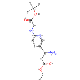 CCOC(=O)CC(N)c1ccc(NCC(=O)OC(C)(C)C)nc1